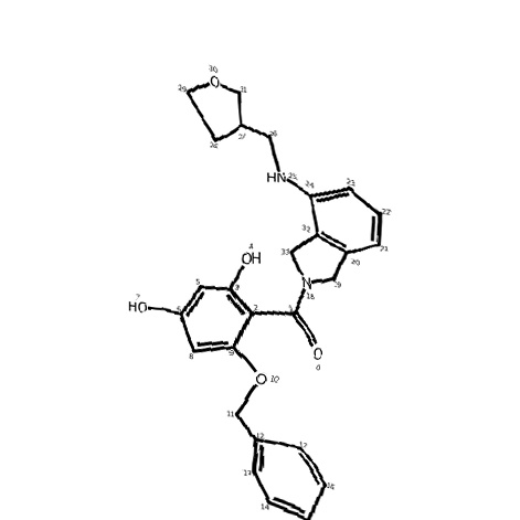 O=C(c1c(O)cc(O)cc1OCc1ccccc1)N1Cc2cccc(NCC3CCOC3)c2C1